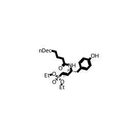 CCCCCCCCCCCCCC(=O)N[C@@H](/C=C/P(=O)(OCC)OCC)Cc1ccc(O)cc1